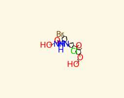 Cc1cc(OCCO)ccc1C(=O)c1ccc(Nc2ccc(Br)cc2NC(=O)NCCO)cc1Cl